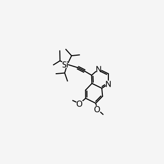 COc1cc2ncnc(C#C[Si](C(C)C)(C(C)C)C(C)C)c2cc1OC